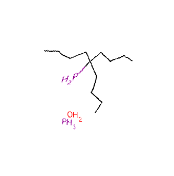 CCCCC(P)(CCCC)CCCC.O.P